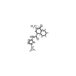 Cn1cc(C(=O)Nc2nc(C3CC3)no2)c2ccccc2c1=O